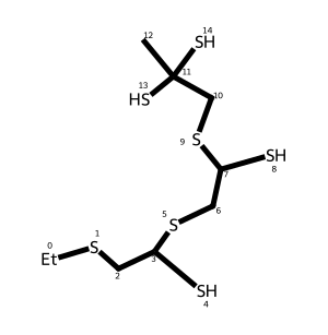 CCSCC(S)SCC(S)SCC(C)(S)S